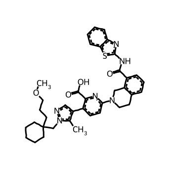 COCCCC1(Cn2ncc(-c3ccc(N4CCc5cccc(C(=O)Nc6nc7ccccc7s6)c5C4)nc3C(=O)O)c2C)CCCCC1